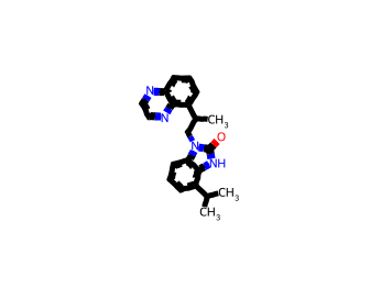 CC(C)c1cccc2c1[nH]c(=O)n2CC(C)c1cccc2nccnc12